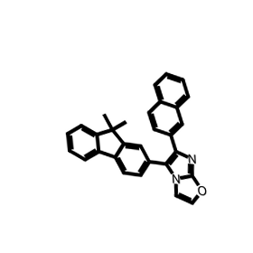 CC1(C)c2ccccc2-c2ccc(-c3c(-c4ccc5ccccc5c4)nc4occn34)cc21